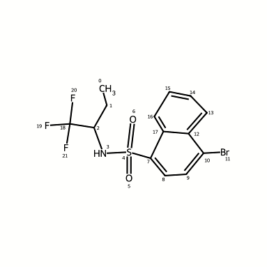 CCC(NS(=O)(=O)c1ccc(Br)c2ccccc12)C(F)(F)F